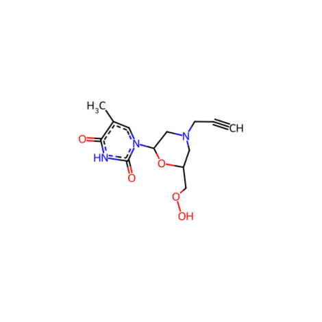 C#CCN1CC(COO)OC(n2cc(C)c(=O)[nH]c2=O)C1